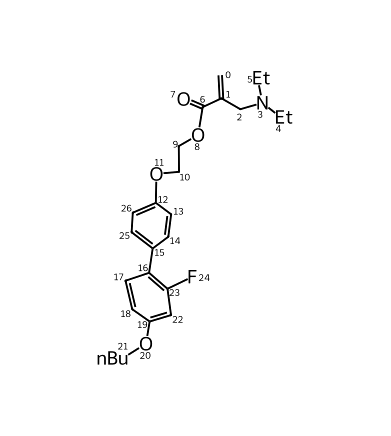 C=C(CN(CC)CC)C(=O)OCCOc1ccc(-c2ccc(OCCCC)cc2F)cc1